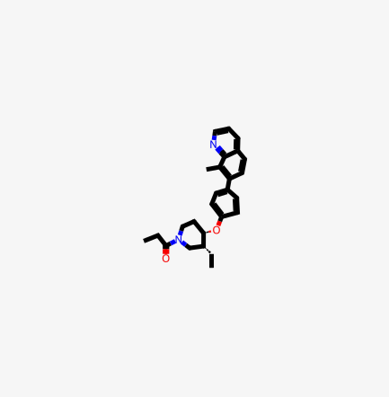 CCC(=O)N1CC[C@H](Oc2ccc(-c3ccc4cccnc4c3C)cc2)[C@H](CC)C1